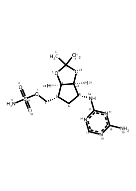 CC1(C)O[C@@H]2[C@@H](COS(N)(=O)=O)C[C@@H](Nc3ncnc(N)n3)[C@@H]2O1